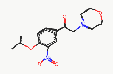 CC(C)Oc1ccc(C(=O)CN2CCOCC2)cc1[N+](=O)[O-]